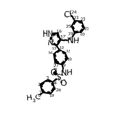 Cc1ccc(S(=O)(=O)Nc2ccc(-c3n[nH]cc3Nc3cccc(Cl)c3)cc2)cc1